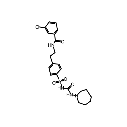 O=C(NN1CCCCCC1)NS(=O)(=O)c1ccc(CCNC(=O)c2cccc(Cl)c2)cc1